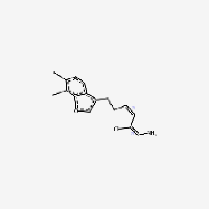 Cc1ccc2c(CC/C=C\C(Cl)=C/N)coc2c1C